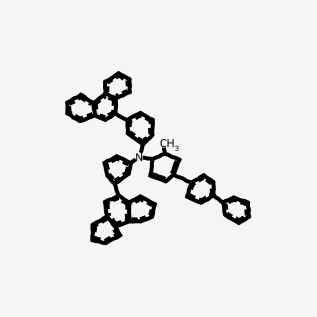 CC1C=C(c2ccc(-c3ccccc3)cc2)C=CC1N(c1cccc(-c2cc3ccccc3c3ccccc23)c1)c1cccc(-c2cc3ccccc3c3ccccc23)c1